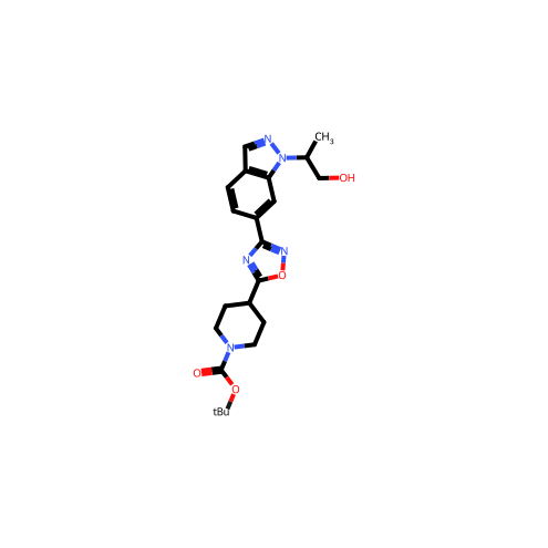 CC(CO)n1ncc2ccc(-c3noc(C4CCN(C(=O)OC(C)(C)C)CC4)n3)cc21